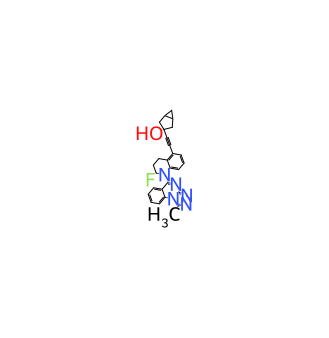 Cc1nnc2nc(N3CCCc4c(C#CC5(O)CC6CC6C5)cccc43)c3c(F)cccc3n12